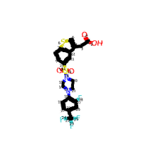 O=C(O)Cc1csc2ccc(S(=O)(=O)N3CCN(c4ccc(C(F)(F)F)cc4F)CC3)cc12